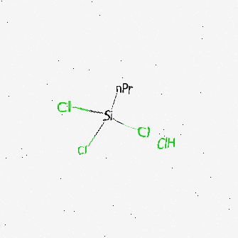 CCC[Si](Cl)(Cl)Cl.Cl